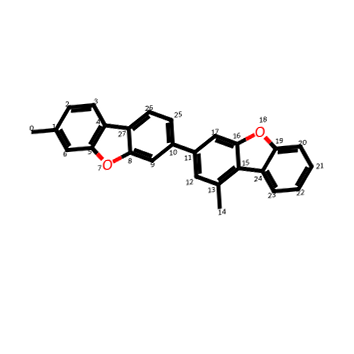 Cc1ccc2c(c1)oc1cc(-c3cc(C)c4c(c3)oc3ccccc34)ccc12